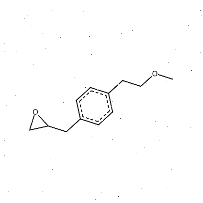 COCCc1ccc(CC2CO2)cc1